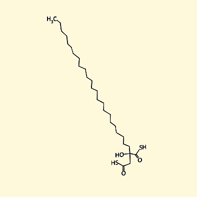 CCCCCCCCCCCCCCCCCCCCCCCCC(O)(CC(=O)S)C(=O)S